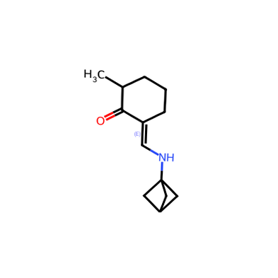 CC1CCC/C(=C\NC23CC(C2)C3)C1=O